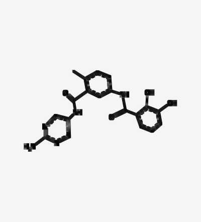 Cc1ccc(NC(=O)c2cccc(O)c2O)cc1C(=O)Nc1cnc(N)nc1